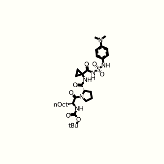 CCCCCCCC[C@H](NC(=O)OC(C)(C)C)C(=O)N1CCC[C@H]1C(=O)NC1(C(=O)NS(=O)(=O)Nc2ccc(N(C)C)cc2)CC1